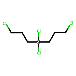 ClCCC[Si](Cl)(Cl)CCCCl